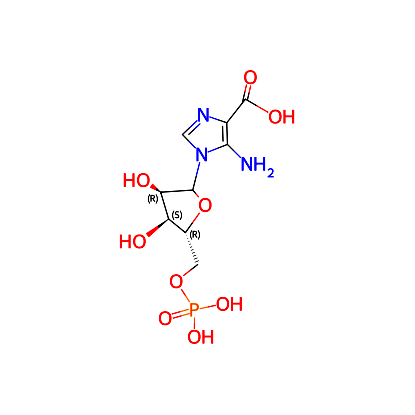 Nc1c(C(=O)O)ncn1C1O[C@H](COP(=O)(O)O)[C@@H](O)[C@H]1O